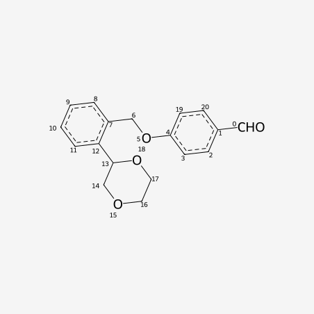 O=Cc1ccc(OCc2ccccc2C2COCCO2)cc1